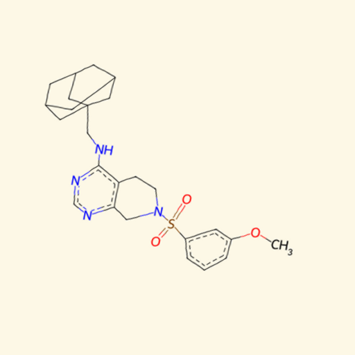 COc1cccc(S(=O)(=O)N2CCc3c(ncnc3NCC34CC5CC(CC(C5)C3)C4)C2)c1